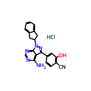 Cl.N#Cc1ccc(-c2nn(C3Cc4ccccc4C3)c3ncnc(N)c23)cc1O